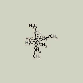 CCCCCCCC(CC)(CC)P(C(CC)(CC)CCCCCCC)C(CC)(CC)CCCCCCC